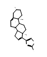 C[C@]12CC[C@H](O)CC1=CC[C@@H]1[C@@H]2CC[C@]2(C)C(c3coc(N)n3)=CC[C@@H]12